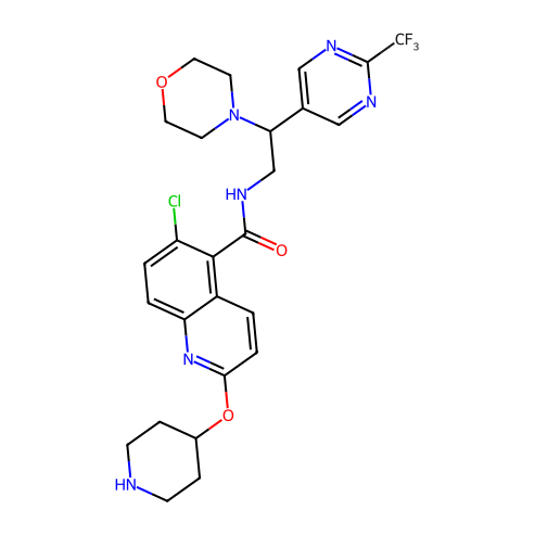 O=C(NCC(c1cnc(C(F)(F)F)nc1)N1CCOCC1)c1c(Cl)ccc2nc(OC3CCNCC3)ccc12